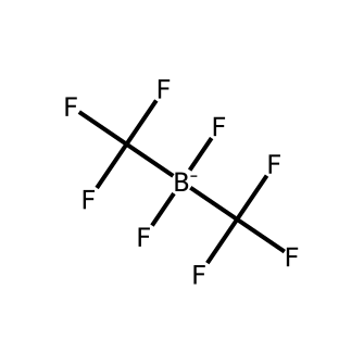 F[B-](F)(C(F)(F)F)C(F)(F)F